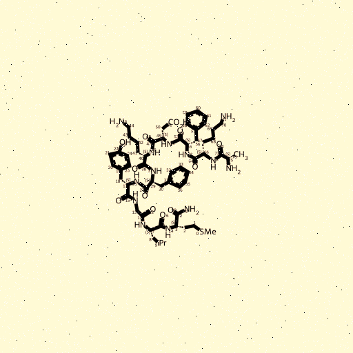 CSCC[C@H](NC(=O)[C@H](CC(C)C)NC(=O)CNC(=O)[C@H](Cc1ccc(O)cc1)NC(=O)[C@H](Cc1ccccc1)NC(=O)[C@H](CCCCN)NC(=O)[C@H](CC(=O)O)NC(=O)[C@H](Cc1ccccc1)NC(=O)[C@H](CCCCN)NC(=O)[C@H](C)N)C(N)=O